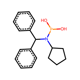 OP(O)N(C1CCCC1)C(c1ccccc1)c1ccccc1